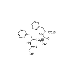 CCOC(=O)C(Cc1ccccc1)NC(=O)CO.CCOC(=O)C(Cc1ccccc1)NC(=O)CO